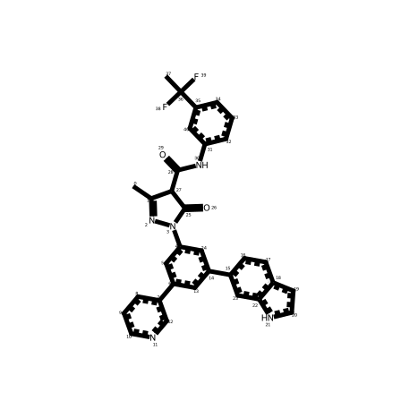 CC1=NN(c2cc(-c3cccnc3)cc(-c3ccc4cc[nH]c4c3)c2)C(=O)C1C(=O)Nc1cccc(C(C)(F)F)c1